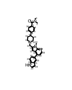 CN(C)C(=O)c1ccc(C2CCN(Cc3cc4c(-c5ccc6[nH]ccc6c5)ccnc4n3C)CC2)cc1